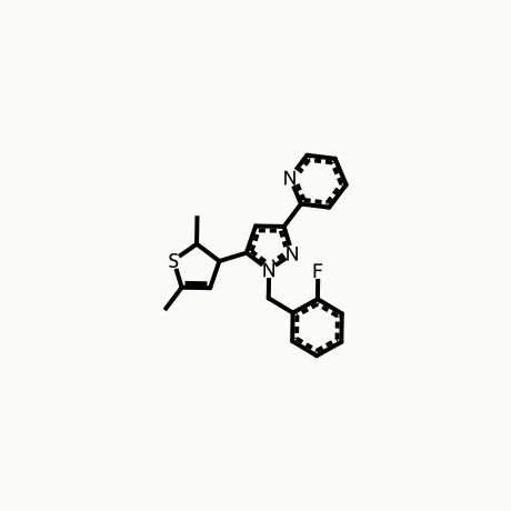 CC1=CC(c2cc(-c3ccccn3)nn2Cc2ccccc2F)C(C)S1